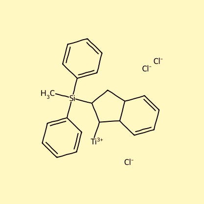 C[Si](c1ccccc1)(c1ccccc1)C1CC2C=CC=CC2[CH]1[Ti+3].[Cl-].[Cl-].[Cl-]